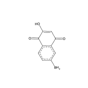 Bc1ccc2c(c1)C(=O)C=C(O)C2=O